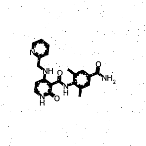 Cc1cc(C(N)=O)cc(C)c1NC(=O)c1c(NCc2ccccn2)cc[nH]c1=O